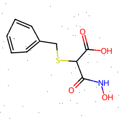 O=C(O)C(SCc1ccccc1)C(=O)NO